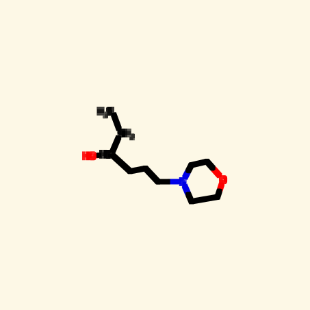 O[SiH](CCCN1CCOCC1)[SiH2][SiH3]